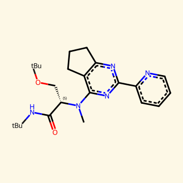 CN(c1nc(-c2ccccn2)nc2c1CCC2)[C@@H](COC(C)(C)C)C(=O)NC(C)(C)C